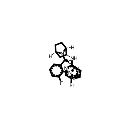 O=C(c1cccc(F)c1-n1nccn1)N1[C@@H]2CC[C@H]1[C@H](Nc1ncc(Br)cn1)C2